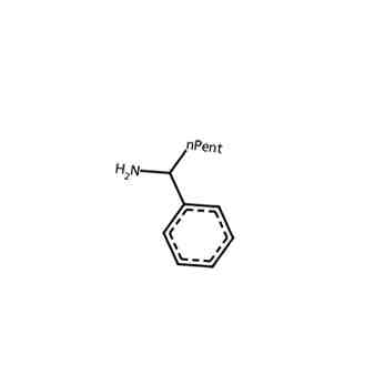 CCCCC[C](N)c1ccccc1